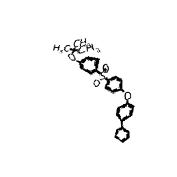 CC(C)(C)Oc1ccc(S(=O)(=O)c2ccc(Oc3ccc(-c4ccccc4)cc3)cc2)cc1